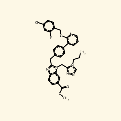 CCCn1cnnc1Cn1c(Cc2ccc(-c3cccnc3OCc3ccc(Cl)cc3F)cc2)nc2ccc(C(=O)OC)cc21